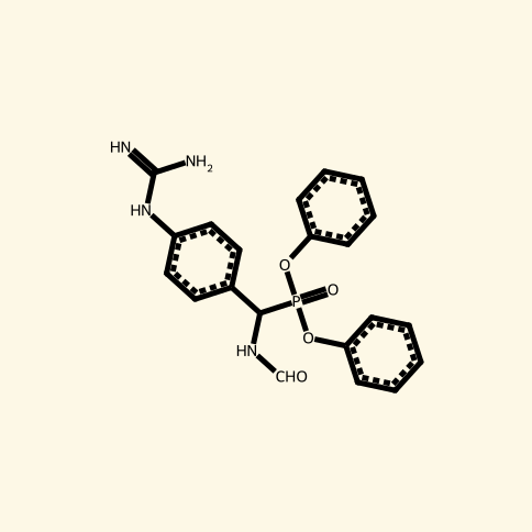 N=C(N)Nc1ccc(C(NC=O)P(=O)(Oc2ccccc2)Oc2ccccc2)cc1